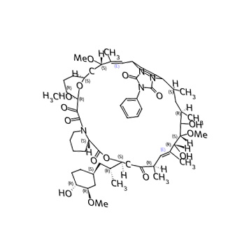 CO[C@H]1C[C@@H]2CC[C@@H](C)[C@@](O)(O2)C(=O)C(=O)N2CCCC[C@H]2C(=O)O[C@H]([C@H](C)C[C@@H]2CC[C@@H](O)[C@H](OC)C2)CC(=O)[C@H](C)/C=C(\C)[C@@H](O)[C@@H](OC)C(O)[C@H](C)C[C@H](C)C2C=CC(/C=C/1C)n1c(=O)n(-c3ccccc3)c(=O)n12